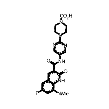 CNc1cc(F)cc2cc(C(=O)Nc3cnc(N4CCN(C(=O)O)CC4)nc3)c(=O)[nH]c12